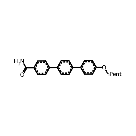 CCCCCOc1ccc(-c2ccc(-c3ccc(C(N)=O)cc3)cc2)cc1